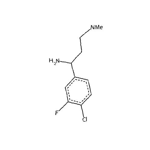 CNCCC(N)c1ccc(Cl)c(F)c1